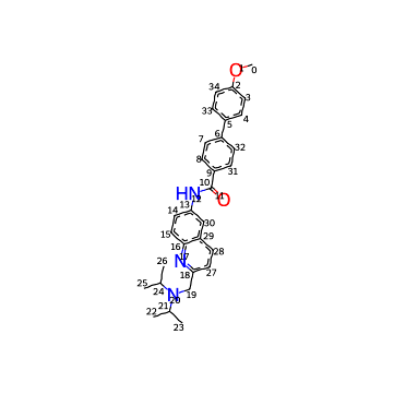 COc1ccc(-c2ccc(C(=O)Nc3ccc4nc(CN(C(C)C)C(C)C)ccc4c3)cc2)cc1